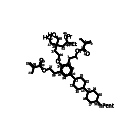 C=C(C)C(=O)OCCc1cc(C2CCC(C3CCC(CCCCC)CC3)CC2)cc(CCOC(=O)C(=C)C)c1OCCC(CO)(CO)CC(CC)CCC